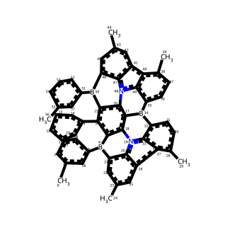 Cc1cccc(B2c3c(-c4ccccc4)c4c5c6c3-n3c7c2cc(C)cc7c2c(C)ccc(c23)B6c2ccc(C)c3c6cc(C)cc(c6n-5c23)B4c2cccc(C)c2)c1